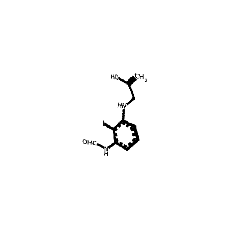 C=C(O)CNc1cccc(NC=O)c1I